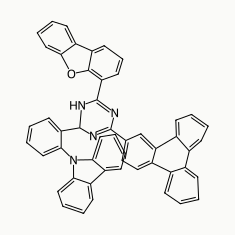 c1ccc(-n2c3ccccc3c3ccccc32)c(C2N=C(c3ccc4c5ccccc5c5ccccc5c4c3)N=C(c3cccc4c3oc3ccccc34)N2)c1